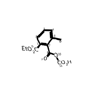 CCOC(=O)c1cccc(C)c1C(=O)OC(=O)O